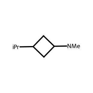 CNC1CC(C(C)C)C1